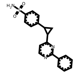 NS(=O)(=O)c1ccc(C2CC2c2ccnc(-c3ccccc3)n2)cc1